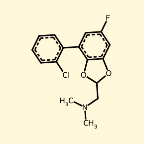 CN(C)CC1Oc2cc(F)cc(-c3ccccc3Cl)c2O1